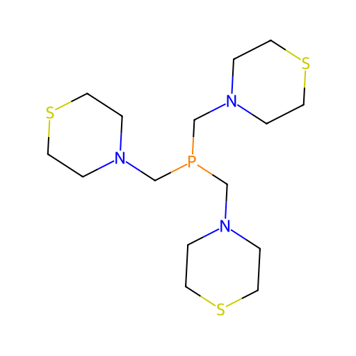 C1CN(CP(CN2CCSCC2)CN2CCSCC2)CCS1